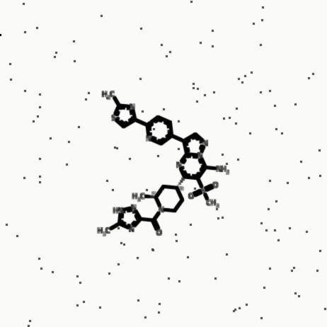 Cc1nc(C(=O)N2CC[C@@H](c3nc4c(-c5ccc(-c6csc(C)n6)nc5)cnn4c(N)c3S(C)(=O)=O)C[C@@H]2C)n[nH]1